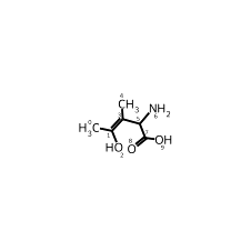 C/C(O)=C(\C)C(N)C(=O)O